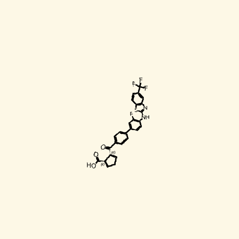 O=C(O)[C@@H]1CCC[C@H]1C(=O)c1ccc(-c2ccc(Nc3nc4cc(C(F)(F)F)ccc4s3)c(F)c2)cc1